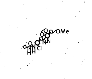 COCCOc1cc2ncnc(Oc3ccc(NC(=O)NC4CCC4)c(Cl)c3)c2c2c1OCCO2